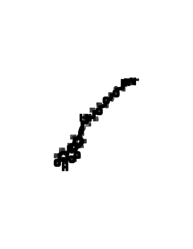 [N-]=[N+]=NCCOCCOCCOCCNCCC#Cc1ccc2c(c1)CN(C1CCC(=O)NC1=O)C2=O